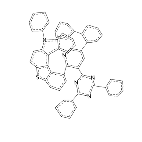 c1ccc(-c2nc(-c3ccccc3)nc(-c3cc(-c4ccccc4-c4ccccc4)cnc3-c3cccc4sc5ccc6c(c7ccccc7n6-c6ccccc6)c5c34)n2)cc1